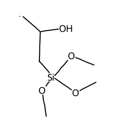 [CH2]C(O)C[Si](OC)(OC)OC